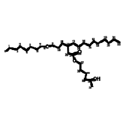 CCCCCCCCCCCCC(CCCCCCCCCC)CC(=O)OCCCCC(C)O